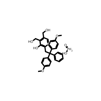 COc1ccc(C(Cc2ncc(CO)c(CO)c2O)(c2ccccc2)c2ccc(OC)cc2)cc1.O=[PH2]O